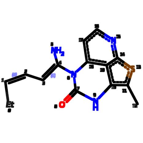 CC/C=C\C=C(/N)N1C(=O)Nc2c(C)sc3nccc1c23